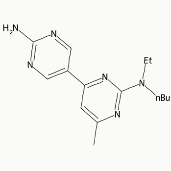 CCCCN(CC)c1nc(C)cc(-c2cnc(N)nc2)n1